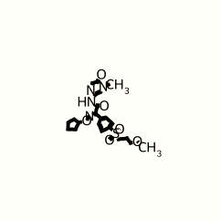 COCCCS(=O)(=O)c1ccc(/C(=N\OC2CCCC2)C(=O)Nc2cn(C)c(=O)cn2)cc1